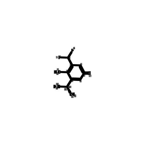 Cc1c(C(F)F)cccc1[C@@H](C)N.Cl